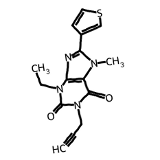 C#CCn1c(=O)c2c(nc(-c3ccsc3)n2C)n(CC)c1=O